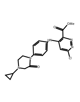 COC(=O)c1nnc(Cl)cc1Nc1ccc(N2CCN(C3CC3)CC2=O)cc1